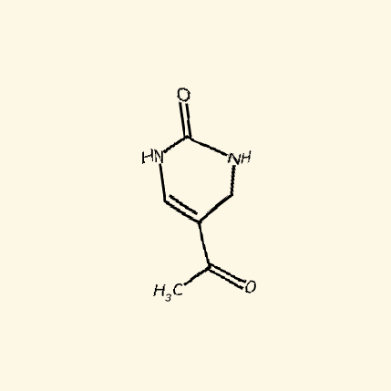 CC(=O)C1=CNC(=O)NC1